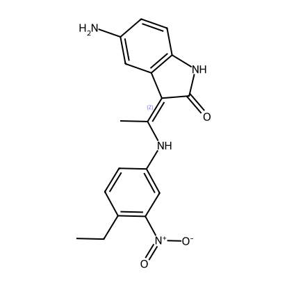 CCc1ccc(N/C(C)=C2\C(=O)Nc3ccc(N)cc32)cc1[N+](=O)[O-]